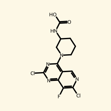 O=C(O)NC1CCCN(c2nc(Cl)nc3c(F)c(Cl)ncc23)C1